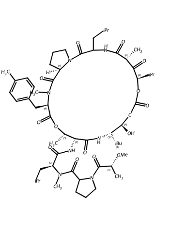 CC[C@@H](C)[C@@H]1NC(=O)[C@H](NC(=O)[C@H](CC(C)C)N(C)C(=O)C2CCCN2C(=O)[C@@H](C)OC)[C@H](C)OC(=O)[C@@H](Cc2ccc(C)cc2)N(C)C(=O)[C@H]2CCCN2C(=O)C(CC(C)C)NC(=O)[C@H](C)C(=O)[C@@H](C(C)C)OC(=O)C[C@H]1O